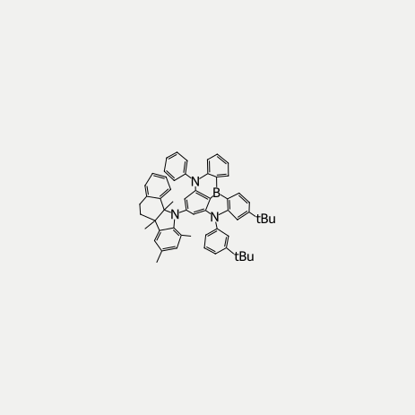 Cc1cc(C)c2c(c1)C1(C)CCc3ccccc3C1(C)N2c1cc2c3c(c1)N(c1cccc(C(C)(C)C)c1)c1cc(C(C)(C)C)ccc1B3c1ccccc1N2c1ccccc1